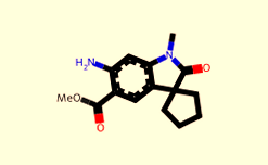 COC(=O)c1cc2c(cc1N)N(C)C(=O)C21CCCC1